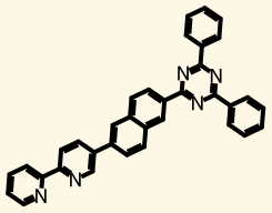 c1ccc(-c2nc(-c3ccccc3)nc(-c3ccc4cc(-c5ccc(-c6ccccn6)nc5)ccc4c3)n2)cc1